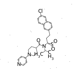 CC(C)N(C(=O)C1CCN(c2ccncc2)CC1)C(CCc1ccc2cc(Cl)ccc2c1)=S(=O)=O